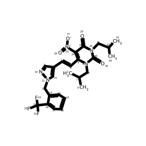 CC(C)Cn1c(C=Cc2cnn(Cc3ccccc3C(F)(F)F)c2)c([N+](=O)[O-])c(=O)n(CC(C)C)c1=O